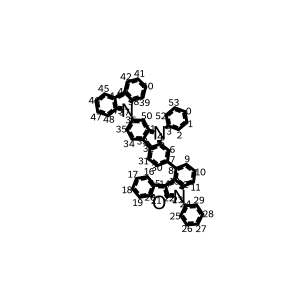 c1ccc(-n2c3cc(-c4cccc5c4c4c6ccccc6oc4n5-c4ccccc4)ccc3c3ccc(-n4c5ccccc5c5ccccc54)cc32)cc1